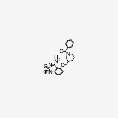 NC1=NS(=O)(=O)Nc2cccc(OCC3CCCN(C(=O)c4ccccc4)C3)c21